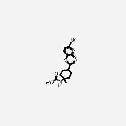 CC1(NC(=O)O)CCC(c2cnc3nc(Br)ccc3n2)CC1